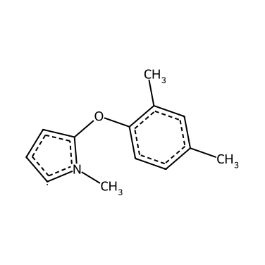 Cc1ccc(Oc2cc[c]n2C)c(C)c1